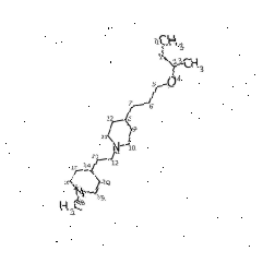 CCC(C)OCCCC1CCN(CCC2CCN(C)CC2)CC1